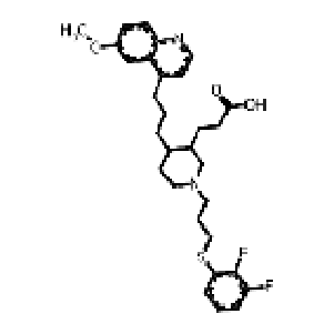 COc1ccc2nccc(CCCC3CCN(CCCSc4cccc(F)c4F)CC3CCC(=O)O)c2c1